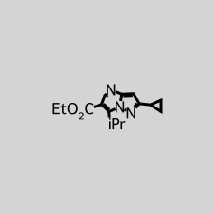 CCOC(=O)c1cnc2cc(C3CC3)nn2c1C(C)C